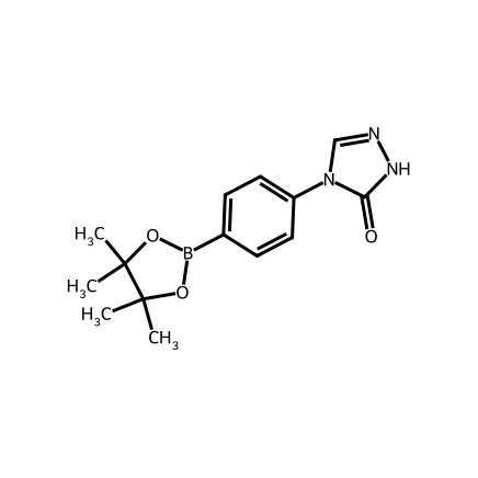 CC1(C)OB(c2ccc(-n3cn[nH]c3=O)cc2)OC1(C)C